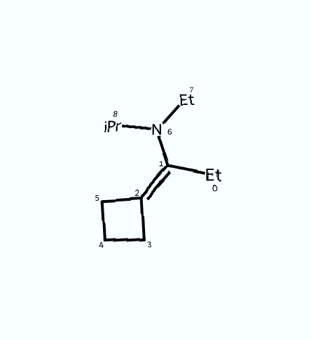 CCC(=C1CCC1)N(CC)C(C)C